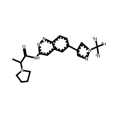 [2H]C([2H])([2H])n1cc(-c2ccc3nnc(NC(=O)C(C)N4CCCC4)cc3c2)cn1